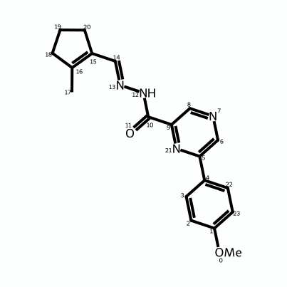 COc1ccc(-c2cncc(C(=O)NN=CC3=C(C)CCC3)n2)cc1